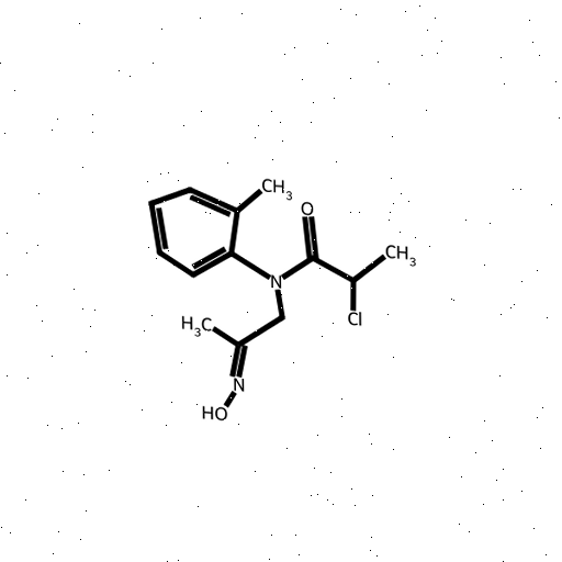 CC(CN(C(=O)C(C)Cl)c1ccccc1C)=NO